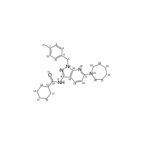 Cc1ccc(Cn2nc(NC(=O)C3CCCCC3)c3ccc(N4CCCCCC4)nc32)cc1